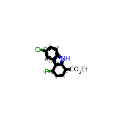 CCOC(=O)C1CCC(F)c2c1[nH]c1ccc(Cl)cc21